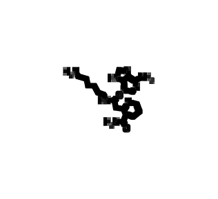 NCCCCCCNC(=O)Cc1ncccc1C(N)=O.Nc1ncnc2[nH]cnc12